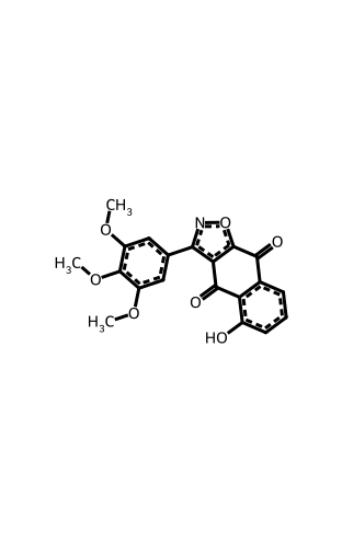 COc1cc(-c2noc3c2C(=O)c2c(O)cccc2C3=O)cc(OC)c1OC